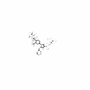 Cc1c(C(=O)NCC(C)(C)C(=O)O)cn(-c2ccc(S(=O)(=O)NC(C)C(F)(F)F)c(C(F)(F)F)c2)c1CC1CCCCC1